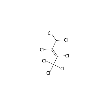 ClC(=C(Cl)C(Cl)(Cl)Cl)C(Cl)Cl